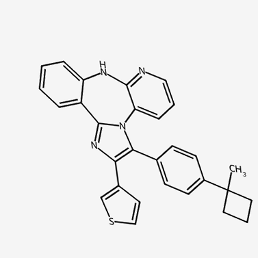 CC1(c2ccc(-c3c(-c4ccsc4)nc4n3-c3cccnc3Nc3ccccc3-4)cc2)CCC1